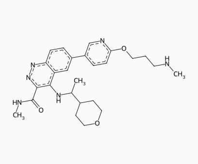 CNCCCOc1ccc(-c2ccc3nnc(C(=O)NC)c(NC(C)C4CCOCC4)c3c2)cn1